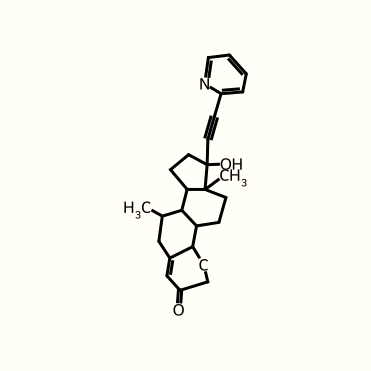 CC1CC2=CC(=O)CCC2C2CCC3(C)C(CCC3(O)C#Cc3ccccn3)C12